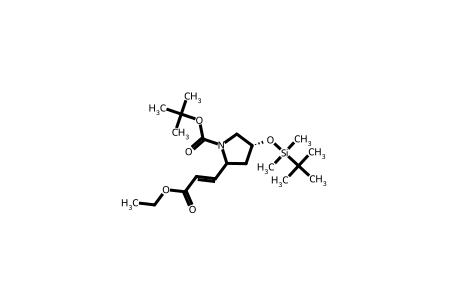 CCOC(=O)/C=C/C1C[C@@H](O[Si](C)(C)C(C)(C)C)CN1C(=O)OC(C)(C)C